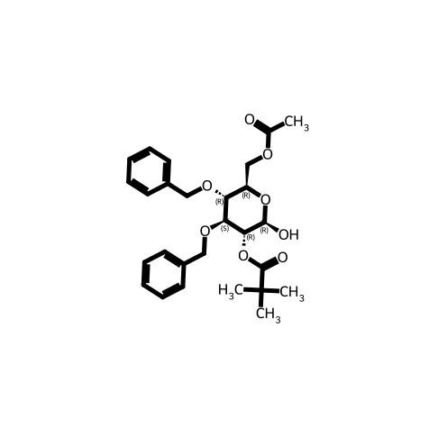 CC(=O)OC[C@H]1O[C@@H](O)[C@H](OC(=O)C(C)(C)C)[C@@H](OCc2ccccc2)[C@@H]1OCc1ccccc1